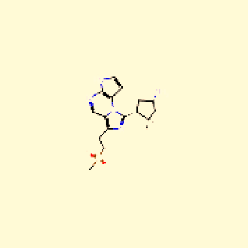 CC[C@@H]1C[C@H](N)C[C@@H]1c1nc(CCS(C)(=O)=O)c2cnc3[nH]ccc3n12